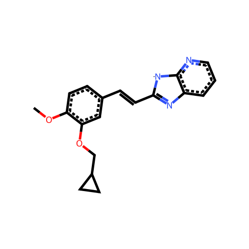 COc1ccc(C=CC2=Nc3cccnc3[N]2)cc1OCC1CC1